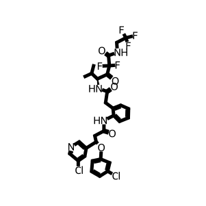 CC(C)[C@H](NC(=O)Cc1ccccc1NC(=O)CC(Oc1cccc(Cl)c1)c1cncc(Cl)c1)C(=O)C(F)(F)C(=O)NCC(F)(F)F